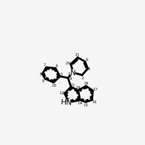 C1=CCN(C(c2ccccc2)c2c[nH]c3ccccc23)C=C1